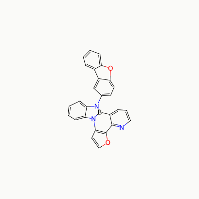 c1cnc2c(c1)B1N(c3ccc4oc5ccccc5c4c3)c3ccccc3N1c1ccoc1-2